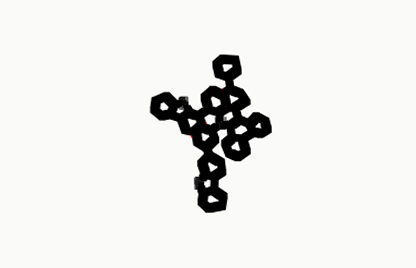 c1ccc(-c2ccc(-c3c(N(c4cccc(-c5ccc6c(c5)sc5ccccc56)c4)c4ccccc4-c4cccc5c4sc4ccccc45)c4ccccc4c4ccccc34)cc2)cc1